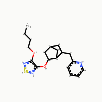 FC(F)(F)CCCOc1nsnc1OC1CC2CC(Cc3ccccn3)C1C2